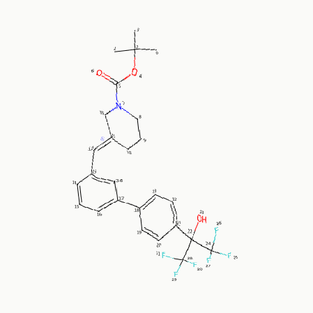 CC(C)(C)OC(=O)N1CCC/C(=C\c2cccc(-c3ccc(C(O)(C(F)(F)F)C(F)(F)F)cc3)c2)C1